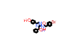 O=C(Cc1ccc(Br)cc1)Nc1ncc(-c2ccc(O)cc2)nc1C(O)c1ccccc1